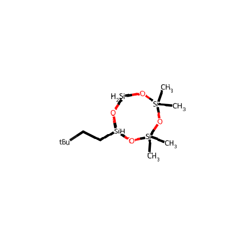 CC(C)(C)CC[SiH]1O[SiH2]O[Si](C)(C)O[Si](C)(C)O1